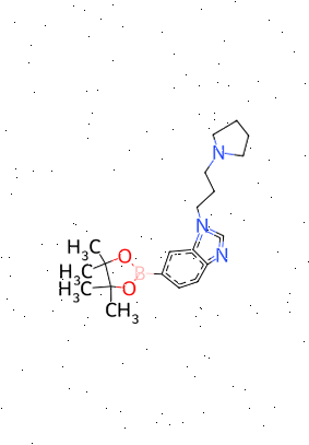 CC1(C)OB(c2ccc3ncn(CCCN4CCCC4)c3c2)OC1(C)C